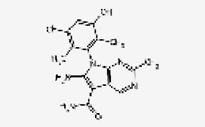 Cc1ncc2c(C(N)=O)c(N)n(-c3c(C)c(O)cc(Cl)c3C)c2n1